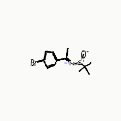 C/C(=N\[S@@+]([O-])C(C)(C)C)c1ccc(Br)cc1